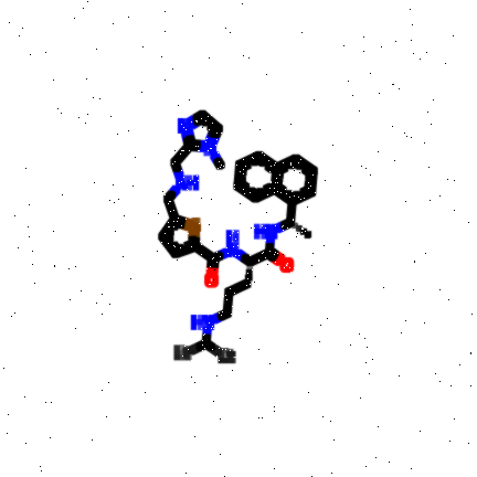 CCC(CC)NCCC[C@H](NC(=O)c1ccc(CNCc2nccn2C)s1)C(=O)N[C@@H](C)c1cccc2ccccc12